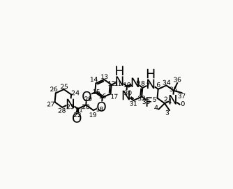 CN1C(C)(C)CC(Nc2nc(Nc3ccc4c(c3)OCC(C(=O)N3CCCCC3)O4)ncc2F)CC1(C)C